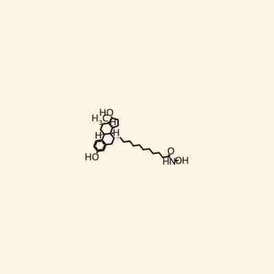 C[C@]12CC[C@@H]3c4ccc(O)cc4C[C@@H](CCCCCCCCCCC(=O)NO)[C@H]3[C@@H]1CC[C@@H]2O